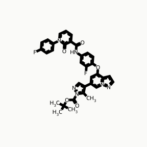 Cc1c(-c2cc(Oc3ccc(NC(=O)c4cccn(-c5ccc(F)cc5)c4=O)cc3F)c3ccnn3c2)cnn1C(=O)OC(C)(C)C